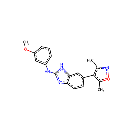 COc1cccc(Nc2nc3ccc(-c4c(C)noc4C)cc3[nH]2)c1